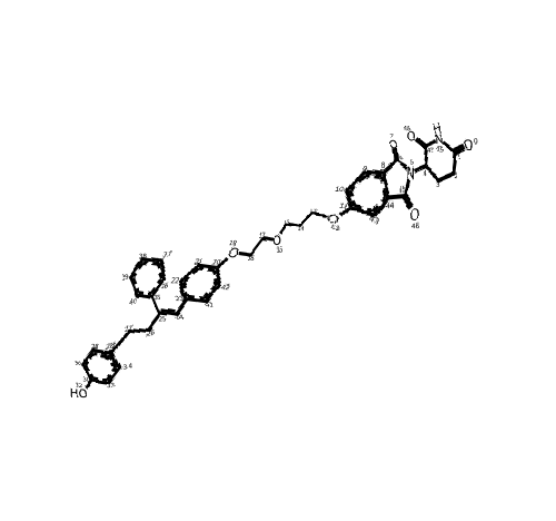 O=C1CCC(N2C(=O)c3ccc(OCCCOCCOc4ccc(/C=C(/CCc5ccc(O)cc5)c5ccccc5)cc4)cc3C2=O)C(=O)N1